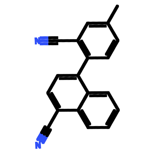 Cc1ccc(-c2ccc(C#N)c3ccccc23)c(C#N)c1